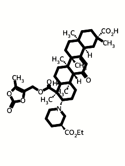 CCOC(=O)[C@H]1CCCN([C@H]2CC[C@@]3(C)[C@@H](CC[C@]4(C)[C@@H]3C(=O)C=C3[C@@H]5C[C@@](C)(C(=O)O)CC[C@]5(C)CC[C@]34C)[C@]2(C)C(=O)OCc2oc(=O)oc2C)C1